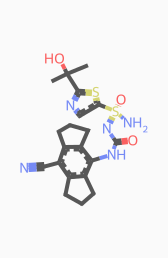 CC(C)(O)c1ncc(S(N)(=O)=NC(=O)Nc2c3c(c(C#N)c4c2CCC4)CCC3)s1